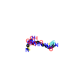 Cc1ncsc1-c1ccc(CNC(=O)[C@@H]2C[C@@H](O)CN2C(=O)[C@@H](NC(=O)Cc2ccc(C(=O)Nc3ccc(-c4ccc(N5C(=S)N(c6ccc(C#N)c(C(F)(F)F)c6F)C(=O)C5(C)C)cn4)cc3)cc2)C(C)(C)C)cc1